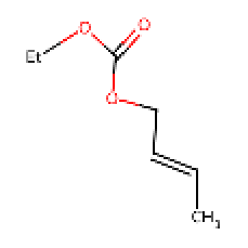 CC=CCOC(=O)OCC